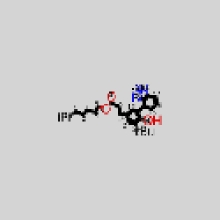 CC(C)CCCCCOC(=O)CCc1cc(-c2cccc3c2=N[N]N=3)c(O)c(C(C)(C)C)c1